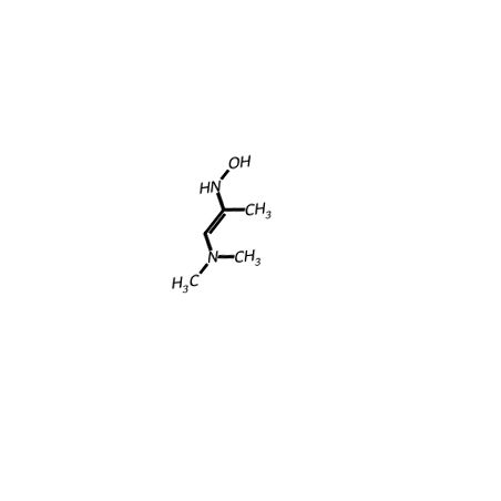 C/C(=C\N(C)C)NO